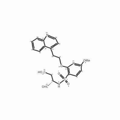 COc1ccc(S(=O)(=O)N[C@H](C=O)CC(=O)O)c(OCCc2ccnc3ccccc23)n1